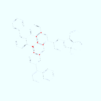 C=CC1=C(/C=C\C)c2cc(-c3cccc(N(c4ccc(-c5cccc6ccccc56)cc4)c4cccc(-c5ccccc5)c4-c4ccccc4-c4ccccc4)c3)ccc2C1(C)C